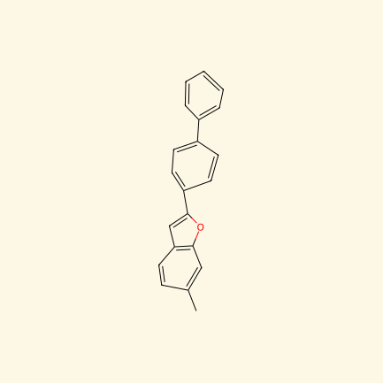 Cc1ccc2cc(-c3ccc(-c4ccccc4)cc3)oc2c1